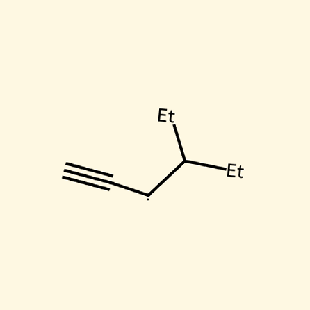 C#C[CH]C(CC)CC